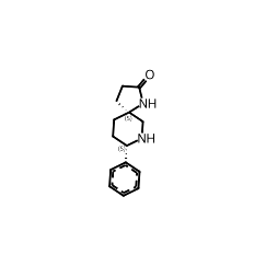 O=C1CC[C@]2(CC[C@@H](c3ccccc3)NC2)N1